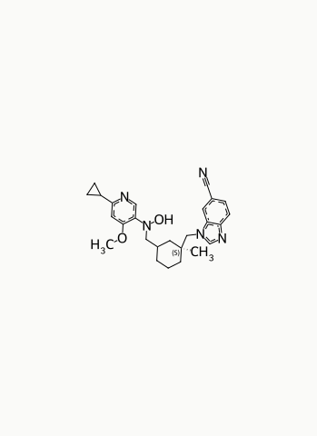 COc1cc(C2CC2)ncc1N(O)CC1CCC[C@](C)(Cn2cnc3ccc(C#N)cc32)C1